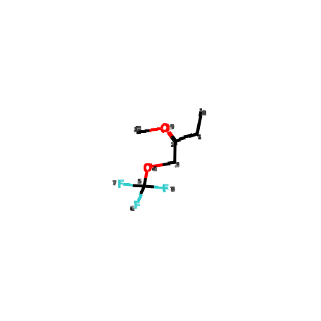 [CH2]CC(COC(F)(F)F)OC